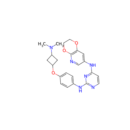 CN(C)C1CC(Oc2ccc(Nc3nccc(Nc4cnc5c(c4)OCCO5)n3)cc2)C1